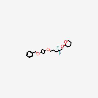 FC(F)(CCCO[C@H]1C[C@@H](OCc2ccccc2)C1)COC1CCCCO1